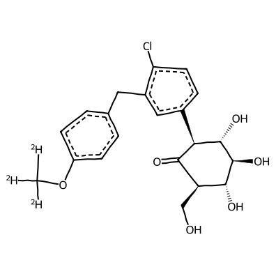 [2H]C([2H])([2H])Oc1ccc(Cc2cc([C@@H]3C(=O)[C@H](CO)[C@@H](O)[C@H](O)[C@H]3O)ccc2Cl)cc1